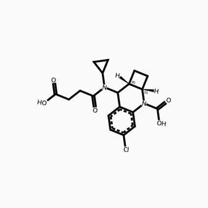 O=C(O)CCC(=O)N(C1CC1)C1c2ccc(Cl)cc2N(C(=O)O)[C@H]2CC[C@@H]12